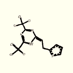 ClC(Cl)(Cl)C1=NC(=CCc2cccs2)NC(C(Cl)(Cl)Cl)=N1